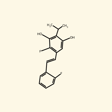 CC(C)c1c(O)cc(/C=C/c2ccccc2F)c(F)c1O